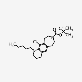 CCCCCN1CCCc2cc3c(c(Cl)c21)CCN(C(=O)OC(C)(C)C)CC3